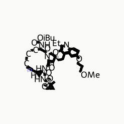 CCc1nc2ccc(OCCCOC)cc2c2c1O[C@]1(CC2)C[C@H]2C(=O)N[C@]3(C(=O)NS(=O)(=O)C4(C)CC4)C[C@H]3/C=C\CCCCC[C@H](NC(=O)OCC(C)C)C(=O)N2C1